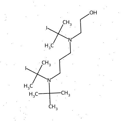 CC(C)(C)N(CCCN(CCO)C(C)(C)I)C(C)(C)I